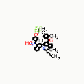 CCCCC(CC)Cn1c2c3ccccc3c(C(=O)c3c(C)cc(C)cc3C)cc2c2cc(C(=NO)c3ccc(OCC(F)(F)C(F)F)cc3)c3ccccc3c21